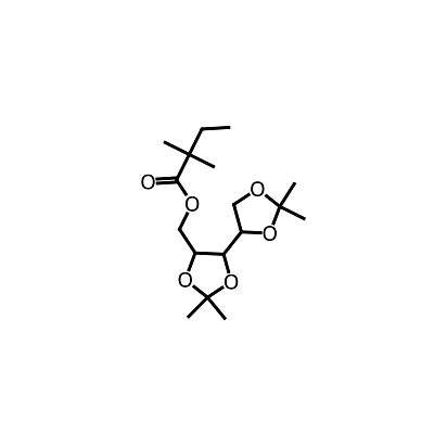 CCC(C)(C)C(=O)OCC1OC(C)(C)OC1C1COC(C)(C)O1